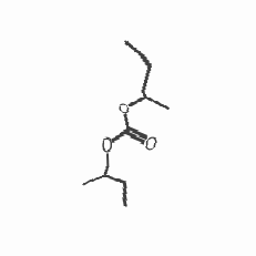 CCC(C)OC(=O)OC(C)CC